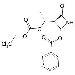 C[C@@H](OC(=O)OCC(Cl)(Cl)Cl)[C@H]1C(=O)N[C@@H]1OC(=O)c1ccccc1